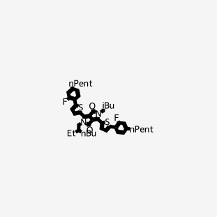 CCCCCc1ccc(-c2ccc(C3=C4C(=O)N(CC(CC)CCCC)C(c5ccc(-c6ccc(CCCCC)cc6F)s5)=C4C(=O)N3CC(C)CC)s2)c(F)c1